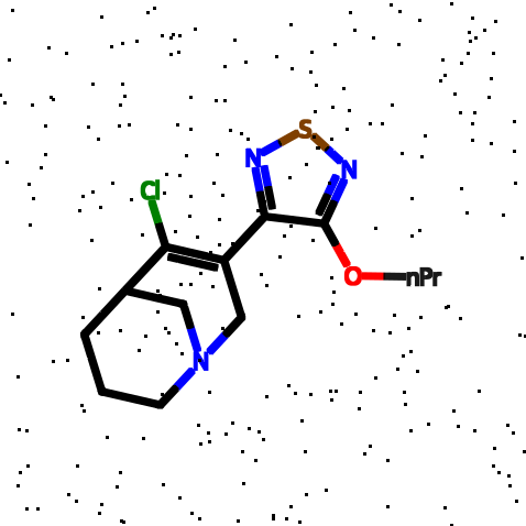 CCCOc1nsnc1C1=C(Cl)C2CCCN(C1)C2